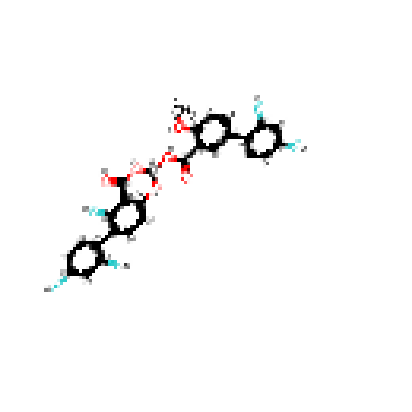 COc1ccc(-c2ccc(F)cc2F)cc1C(=O)OB1OC(=O)c2c(ccc(-c3ccc(F)cc3F)c2F)O1